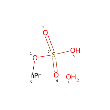 CCCOS(=O)(=O)O.O